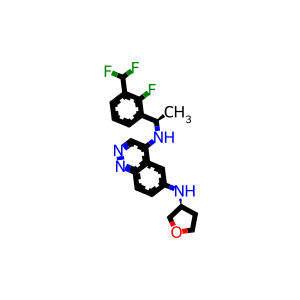 C[C@@H](Nc1cnnc2ccc(N[C@@H]3CCOC3)cc12)c1cccc(C(F)F)c1F